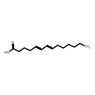 CCCCCC/C=C/C=C/CCCC(=O)O